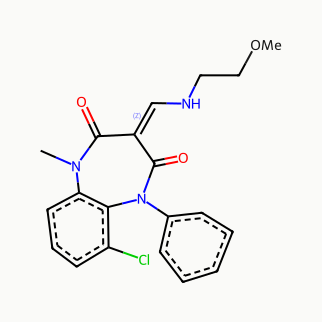 COCCN/C=C1/C(=O)N(C)c2cccc(Cl)c2N(c2ccccc2)C1=O